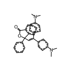 CN(C)c1ccc(C(=CC2(c3ccccc3)OC(=O)c3ccccc32)c2ccc(N(C)C)cc2)cc1